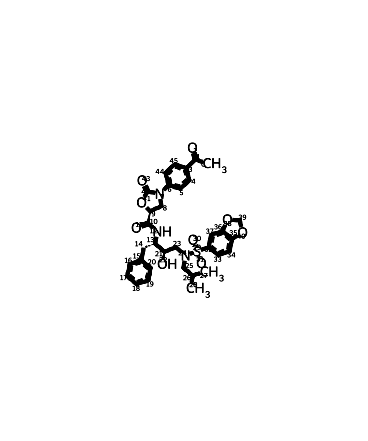 CC(=O)c1ccc(N2C[C@@H](C(=O)N[C@@H](Cc3ccccc3)[C@H](O)CN(CC(C)C)S(=O)(=O)c3ccc4c(c3)OCO4)OC2=O)cc1